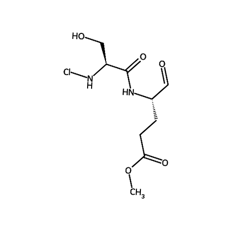 COC(=O)CC[C@@H](C=O)NC(=O)[C@H](CO)NCl